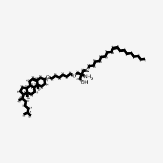 CCCCCCCC/C=C\CCCCCCCCOCC(N)(CO)COCCCCCCOC1CCC2(C)C(=CCC3C2CCC2(C)C(C(C)CCCC(C)C)CCC32)C1